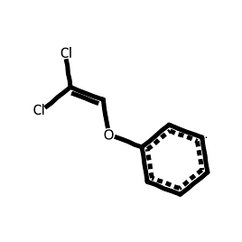 ClC(Cl)=COc1c[c]ccc1